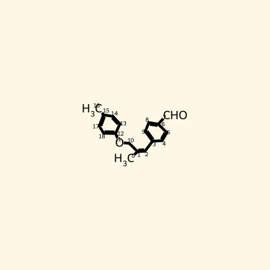 CC(=Cc1ccc(C=O)cc1)COc1ccc(C)cc1